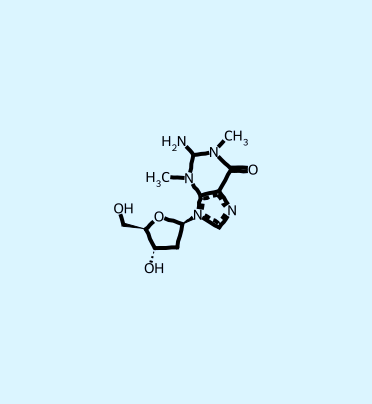 CN1C(=O)c2ncn([C@H]3C[C@H](O)[C@@H](CO)O3)c2N(C)C1N